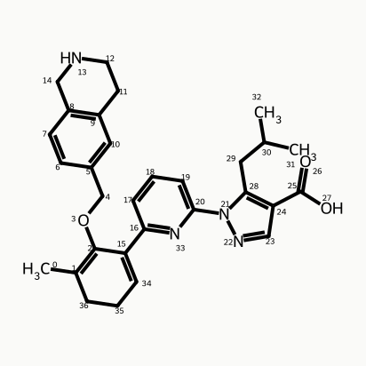 CC1=C(OCc2ccc3c(c2)CCNC3)C(c2cccc(-n3ncc(C(=O)O)c3CC(C)C)n2)=CCC1